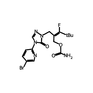 CC(C)(C)/C(F)=C(\COC(N)=O)Cn1ncn(-c2ccc(Br)cn2)c1=O